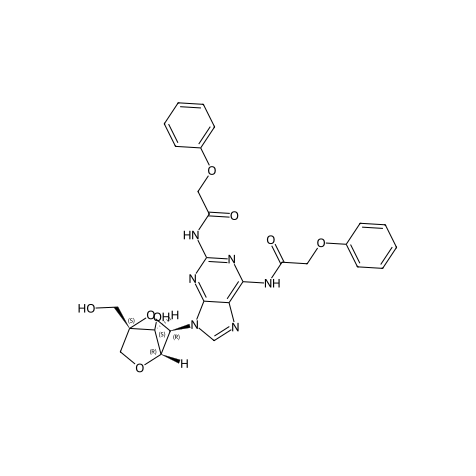 O=C(COc1ccccc1)Nc1nc(NC(=O)COc2ccccc2)c2ncn([C@@H]3O[C@@]4(CO)CO[C@@H]3[C@@H]4O)c2n1